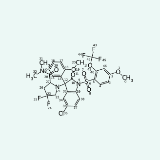 COc1ccc(S(=O)(=O)N2C(=O)C(c3ccccc3OC)(N3CC(F)(F)C[C@H]3C(=O)N(C)C)c3cc(Cl)ccc32)c(OC(F)(F)F)c1